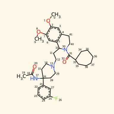 COc1cc2c(cc1OC)C(CCN1CCC(NC(C)=O)(c3cccc(F)c3)CC1)N(C(=O)C1CCCCCC1)CC2